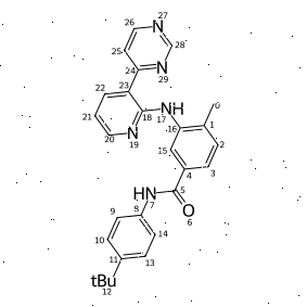 Cc1ccc(C(=O)Nc2ccc(C(C)(C)C)cc2)cc1Nc1ncccc1-c1ccncn1